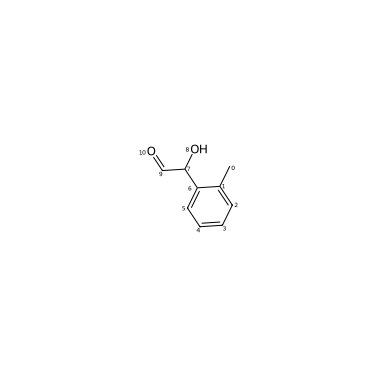 Cc1ccccc1C(O)C=O